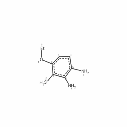 CCOc1ccc(N)c(N)c1[SiH3]